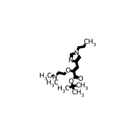 CCCn1cnc(C=C(OCCN(C)C)C(=O)OC(C)(C)C)c1